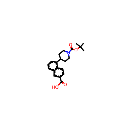 CC(C)(C)OC(=O)N1CCC(c2cccc3cc(C(=O)O)ccc23)CC1